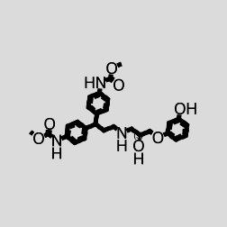 COC(=O)Nc1ccc(C(CCNC[C@H](O)COc2cccc(O)c2)c2ccc(NC(=O)OC)cc2)cc1